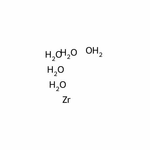 O.O.O.O.O.[Zr]